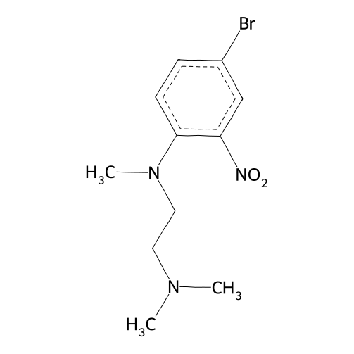 CN(C)CCN(C)c1ccc(Br)cc1[N+](=O)[O-]